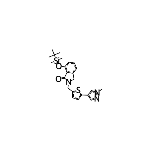 Cn1cc(-c2ccc(CN3Cc4cccc(O[Si](C)(C)C(C)(C)C)c4C3=O)s2)cn1